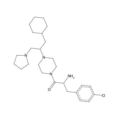 NC(Cc1ccc(Cl)cc1)C(=O)N1CCN(C(CC2CCCCC2)CN2CCCC2)CC1